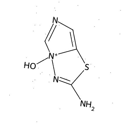 NC1=N[N+]2(O)C=NC=C2S1